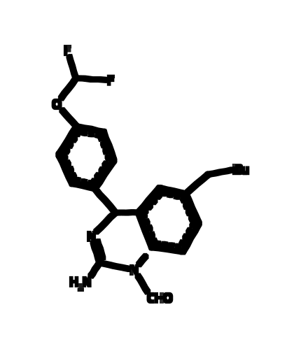 CCC(C)Cc1cccc(C(/N=C(/N)N(C)C=O)c2ccc(OC(F)F)cc2)c1